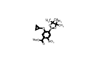 COC(=O)c1cc(OC2CC2)c(B2OC(C)(C)C(C)(C)O2)cc1[N+](=O)[O-]